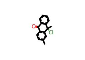 Cc1ccc2c(c1)C(C)(Cl)c1ccccc1C2=O